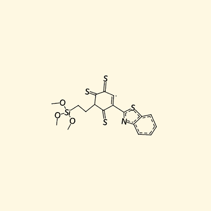 CO[Si](CCC1C(=S)C(=S)[C]=C(c2nc3ccccc3s2)C1=S)(OC)OC